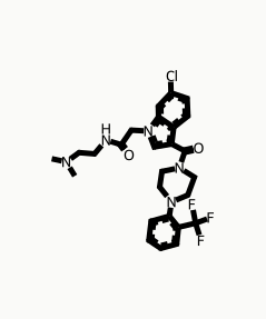 CN(C)CCNC(=O)Cn1cc(C(=O)N2CCN(c3ccccc3C(F)(F)F)CC2)c2ccc(Cl)cc21